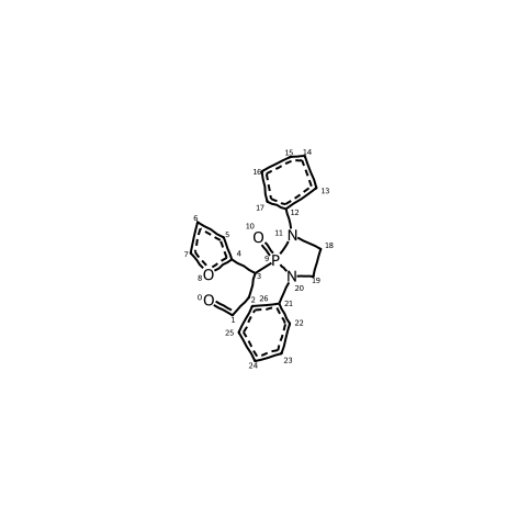 O=CCC(c1ccco1)P1(=O)N(c2ccccc2)CCN1c1ccccc1